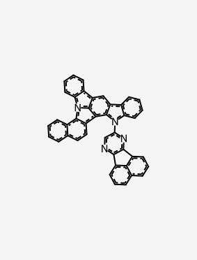 c1cc2c3c(cccc3c1)-c1nc(-n3c4ccccc4c4cc5c6ccccc6n6c7c8ccccc8ccc7c(c43)c56)cnc1-2